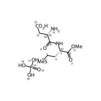 COC(=O)[C@H](CCSC)NC(=O)[C@@H](N)CC(=O)O.O=P(O)(O)O